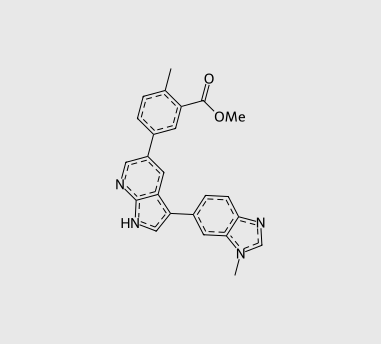 COC(=O)c1cc(-c2cnc3[nH]cc(-c4ccc5ncn(C)c5c4)c3c2)ccc1C